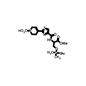 COC(=O)C(CO[Si](C)(C)C(C)(C)C)NC(=O)c1csc(C2=CCN(C(=O)O)CC2)n1